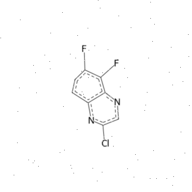 Fc1ccc2nc(Cl)cnc2c1F